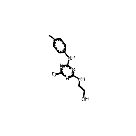 Cc1ccc(Nc2nc(Cl)nc(NCCO)n2)cc1